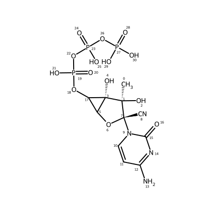 C[C@@]1(O)[C@@]2(O)C(O[C@@]1(C#N)n1ccc(N)nc1=O)C2OP(=O)(O)OP(=O)(O)OP(=O)(O)O